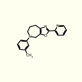 Cc1cccc(N2CCCc3nc(-c4ccccn4)oc3C2)c1